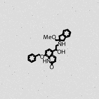 COCC1(NCC(O)c2ccc(OCc3ccccc3)c3[nH]c(=O)ccc23)Cc2ccccc2C1